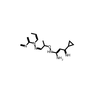 C=NC(=C)N(/C=C\C)/N=C\C(C)ON/C(N)=C/C(=N)C1CC1